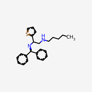 CCCCCNCC(N=C(c1ccccc1)c1ccccc1)c1cccs1